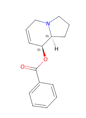 O=C(O[C@H]1C=CCN2CCC[C@@H]12)c1ccccc1